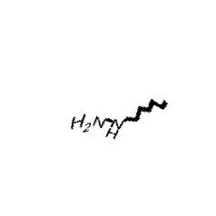 CCCCCCCNCN